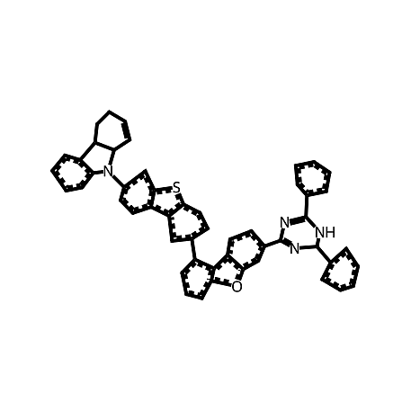 C1=CC2C(CC1)c1ccccc1N2c1ccc2c(c1)sc1ccc(-c3cccc4oc5cc(C6=NC(c7ccccc7)NC(c7ccccc7)=N6)ccc5c34)cc12